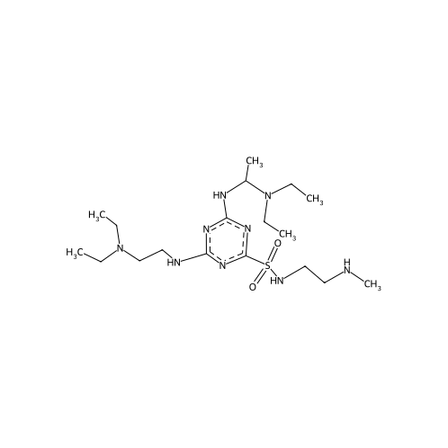 CCN(CC)CCNc1nc(NC(C)N(CC)CC)nc(S(=O)(=O)NCCNC)n1